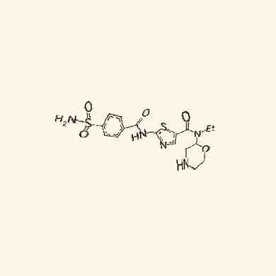 CCN(C(=O)c1cnc(NC(=O)c2ccc(S(N)(=O)=O)cc2)s1)C1CNCCO1